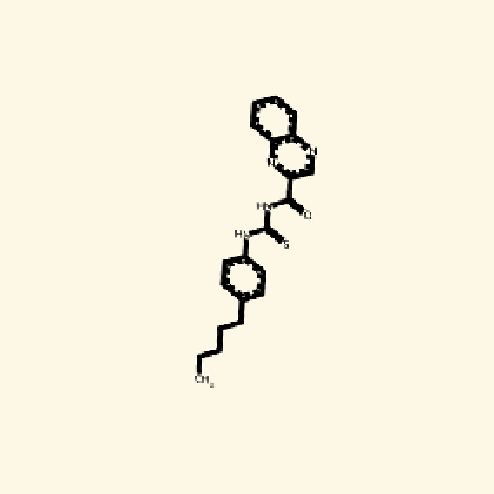 CCCCCc1ccc(NC(=S)NC(=O)c2cnc3ccccc3n2)cc1